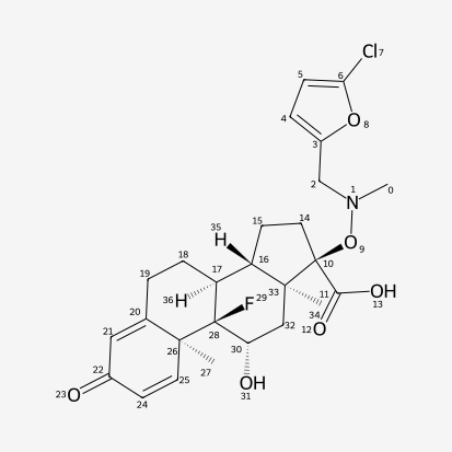 CN(Cc1ccc(Cl)o1)O[C@]1(C(=O)O)CC[C@H]2[C@@H]3CCC4=CC(=O)C=C[C@]4(C)[C@@]3(F)[C@@H](O)C[C@@]21C